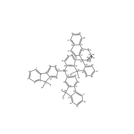 CC1(C)c2ccccc2-c2ccc(N(c3ccc4c(c3)C(C)(C)c3ccccc3-4)c3cccc4c3C(C)(C)c3ccccc3C43c4ccccc4Sc4c3ccc3ccccc43)cc21